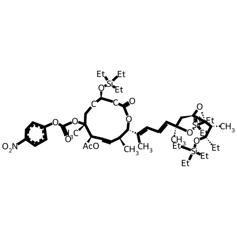 CC[C@H](O[Si](CC)(CC)CC)[C@@H](C)[C@H]1O[C@@H]1C[C@](C)(/C=C/C=C(\C)[C@H]1OC(=O)C[C@H](O[Si](CC)(CC)CC)CC[C@@](C)(OC(=O)Oc2ccc([N+](=O)[O-])cc2)[C@H](OC(C)=O)/C=C/[C@@H]1C)O[Si](CC)(CC)CC